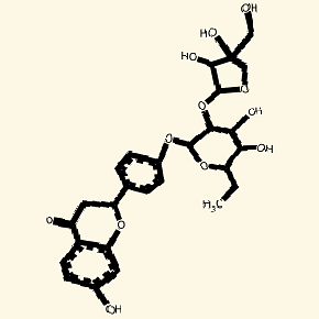 CCC1OC(Oc2ccc(C3CC(=O)c4ccc(O)cc4O3)cc2)C(OC2OCC(O)(CO)C2O)C(O)C1O